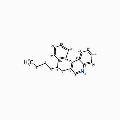 CCCCC(Cc1cnc2ccccc2c1)c1ccccc1